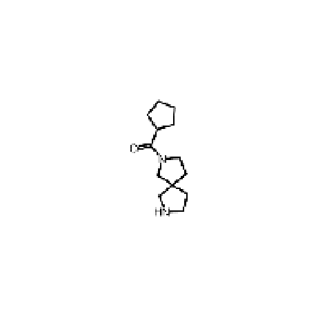 O=C(C1CCCC1)N1CCC2(CCNC2)C1